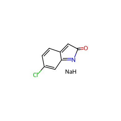 O=C1C=c2ccc(Cl)cc2=N1.[NaH]